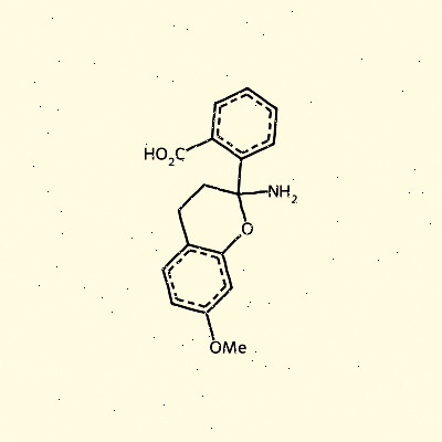 COc1ccc2c(c1)OC(N)(c1ccccc1C(=O)O)CC2